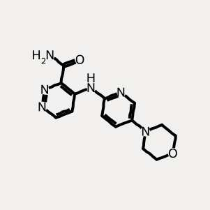 NC(=O)c1nnccc1Nc1ccc(N2CCOCC2)cn1